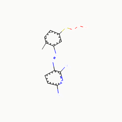 Nc1ccc(/N=N/c2cc(SOOO)ccc2S(=O)(=O)O)c(N)n1